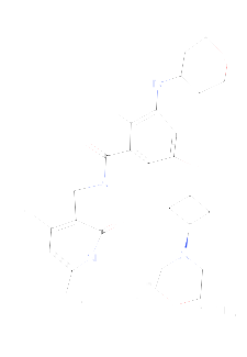 Cc1cc(C)c(CNC(=O)c2cc(O[C@H]3C[C@H](N4C[C@@H](C)O[C@@H](C)C4)C3)cc(NC3CCOCC3)c2C)c(=O)[nH]1